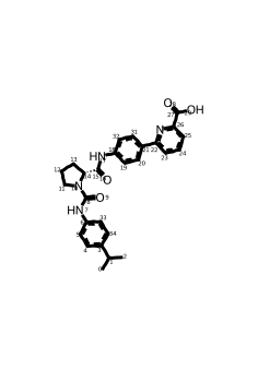 CC(C)c1ccc(NC(=O)N2CCC[C@@H]2C(=O)Nc2ccc(-c3cccc(C(=O)O)n3)cc2)cc1